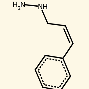 NNC/C=C\c1ccccc1